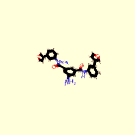 Nc1cc(C(=O)Nc2cccc(-c3ccoc3)c2)cc(C(=O)Nc2cccc(-c3ccoc3)c2)c1